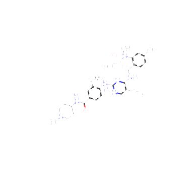 CCN1CCC(NC(=O)c2ccc(Nc3ncc(C(F)(F)F)c(NCc4ccc(C)cc4N(C)S(C)(=O)=O)n3)c(OC)c2)CC1